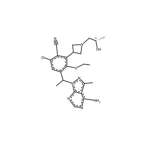 CCOc1c(C(C)n2nc(C)c3c(N)ncnc32)cc(Cl)c(C#N)c1C1CN(C[C@H](C)O)C1